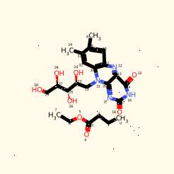 CCCC(=O)OCC.Cc1cc2nc3c(=O)[nH]c(=O)nc-3n(C[C@H](O)[C@H](O)[C@H](O)CO)c2cc1C